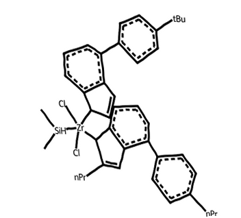 CCCC1=Cc2c(-c3ccc(CCC)cc3)cccc2[CH]1[Zr]([Cl])([Cl])([CH]1C=Cc2c(-c3ccc(C(C)(C)C)cc3)cccc21)[SiH](C)C